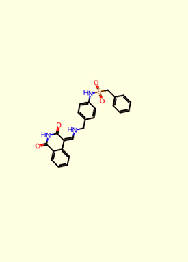 O=C1NC(=O)c2ccccc2C1=CNCc1ccc(NS(=O)(=O)Cc2ccccc2)cc1